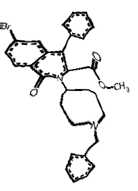 COC(=O)c1c(-c2ccccc2)c2cc(Br)ccc2c(=O)n1C1CCN(Cc2ccccc2)CC1